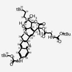 CCC1(OC(=O)CNC(=O)OC(C)(C)C)C(=O)OC([Si](C)(C)CCC(C)(C)C)c2c1cc1n(c2=O)Cc2cc3cc(NC(=O)OC(C)(C)C)ccc3nc2-1